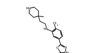 CC1(CCNc2cc(-c3n[nH]c(=O)o3)ccc2C(F)(F)F)CCNCC1